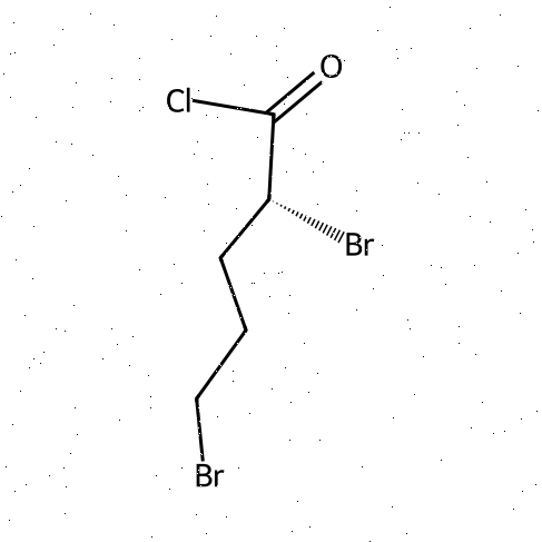 O=C(Cl)[C@H](Br)CCCBr